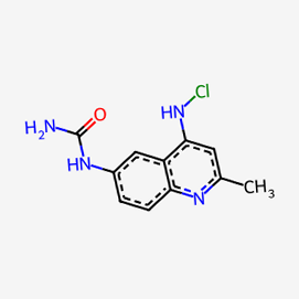 Cc1cc(NCl)c2cc(NC(N)=O)ccc2n1